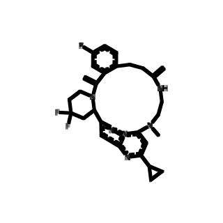 C=C1CCc2ccc(F)cc2C(=C)N2CCC(F)(F)CC2c2cc3nc(C4CC4)cc(n3n2)N(C)CCN1